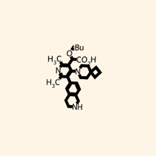 Cc1nc(C)c(C(OC(C)(C)C)C(=O)O)c(N2CCC3(CCC3)CC2)c1-c1ccc2c(c1)CCNC2